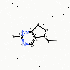 CCC1CCc2nc(C)ncc21